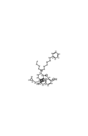 CCCCN(CCCCCCc1ccccc1)C1CC[C@@]2(O)[C@H]3Cc4ccc(O)c5c4[C@@]2(CCN3CC2CC2)C1O5